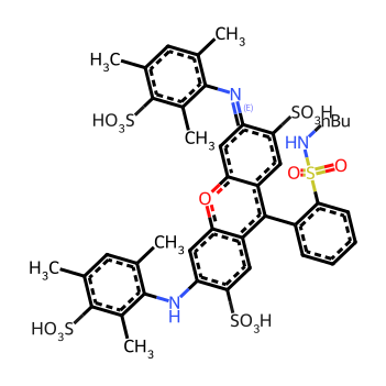 CCCCNS(=O)(=O)c1ccccc1-c1c2cc(S(=O)(=O)O)/c(=N/c3c(C)cc(C)c(S(=O)(=O)O)c3C)cc-2oc2cc(Nc3c(C)cc(C)c(S(=O)(=O)O)c3C)c(S(=O)(=O)O)cc12